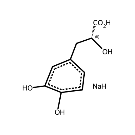 O=C(O)[C@H](O)Cc1ccc(O)c(O)c1.[NaH]